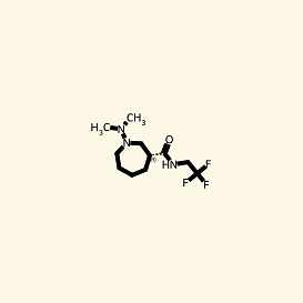 CN(C)N1CCCC[C@@H](C(=O)NCC(F)(F)F)C1